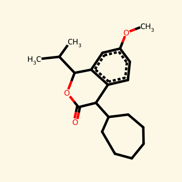 COc1ccc2c(c1)C(C(C)C)OC(=O)C2C1CCCCCC1